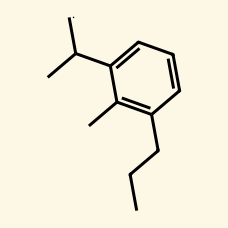 [CH2]C(C)c1cccc(CCC)c1C